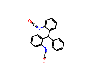 O=C=Nc1ccccc1C(c1ccccc1)c1ccccc1N=C=O